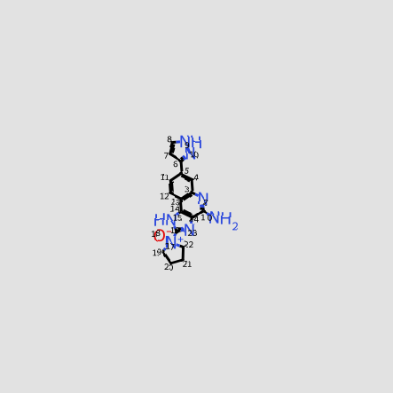 Nc1nc2cc(-c3cc[nH]n3)ccc2c2[nH]c([N+]3([O-])CCCC3)nc12